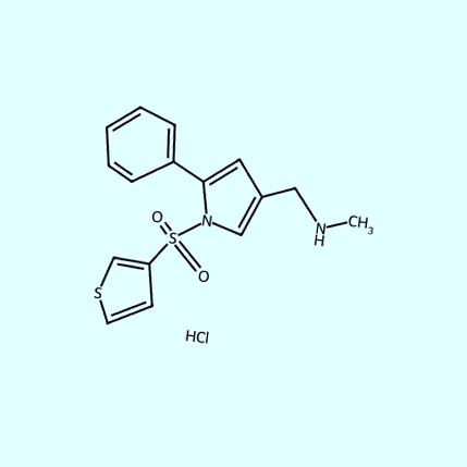 CNCc1cc(-c2ccccc2)n(S(=O)(=O)c2ccsc2)c1.Cl